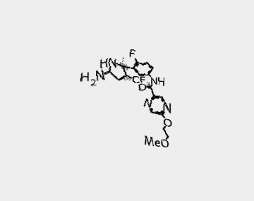 COCCOc1cnc(C(=O)Nc2ccc(F)c([C@]3(C)NC(N)C[C@@H]3C(F)(F)F)c2)cn1